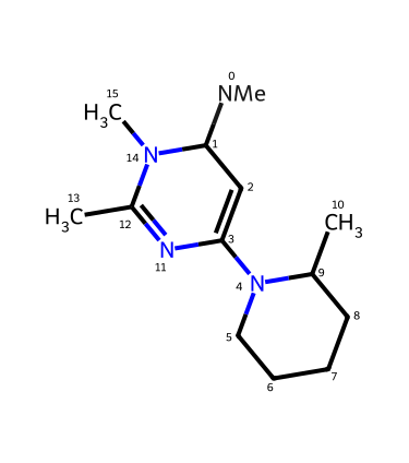 CNC1C=C(N2CCCCC2C)N=C(C)N1C